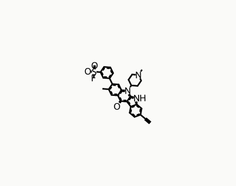 C#Cc1ccc2c(c1)[nH]c1c2c(=O)c2cc(C)c(-c3cccc(S(=O)(=O)F)c3)cc2n1C1CCN(C)CC1